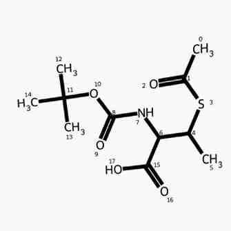 CC(=O)SC(C)C(NC(=O)OC(C)(C)C)C(=O)O